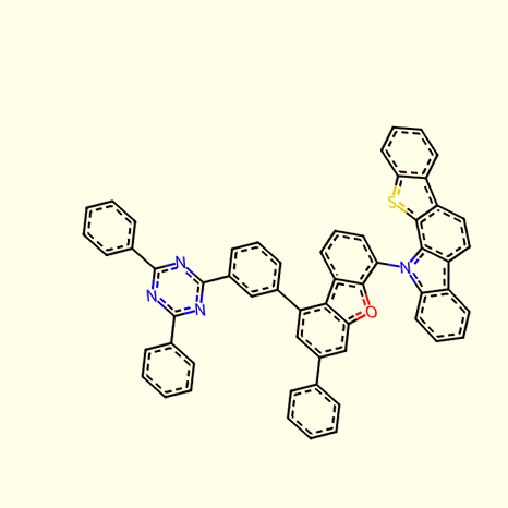 c1ccc(-c2cc(-c3cccc(-c4nc(-c5ccccc5)nc(-c5ccccc5)n4)c3)c3c(c2)oc2c(-n4c5ccccc5c5ccc6c7ccccc7sc6c54)cccc23)cc1